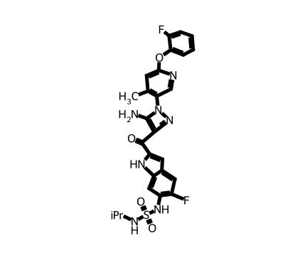 Cc1cc(Oc2ccccc2F)ncc1-n1ncc(C(=O)c2cc3cc(F)c(NS(=O)(=O)NC(C)C)cc3[nH]2)c1N